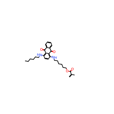 C=C(C)C(=O)OCCCCCCNc1ccc(NCCCCCC)c2c1C(=O)c1ccccc1C2=O